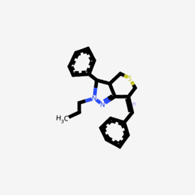 CCCN1N=C2/C(=C\c3ccccc3)CSCC2C1c1ccccc1